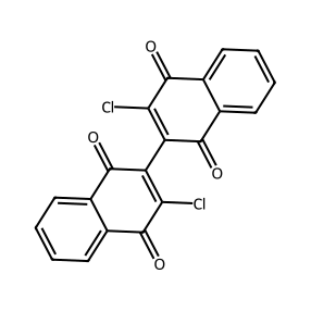 O=C1C(Cl)=C(C2=C(Cl)C(=O)c3ccccc3C2=O)C(=O)c2ccccc21